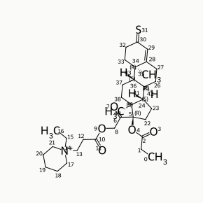 CCC(=O)O[C@]1(C(=O)COC(=O)CC[N+]2(CC)CCCCC2)CC[C@H]2[C@@H]3CCC4=CC(=S)CC[C@]4(C)[C@H]3CC[C@@]21C